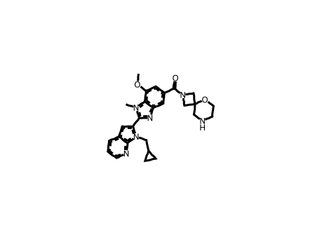 COc1cc(C(=O)N2CC3(CNCCO3)C2)cc2nc(-c3cc4cccnc4n3CC3CC3)n(C)c12